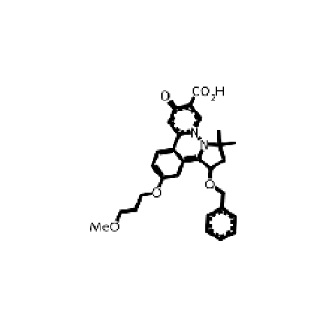 COCCCOC1=CC=C2C(=C3C(OCc4ccccc4)CC(C)(C)N3n3cc(C(=O)O)c(=O)cc32)C1